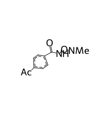 CNONC(=O)c1ccc(C(C)=O)cc1